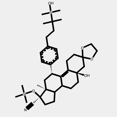 CC(C)(CCc1ccc([C@H]2C[C@@]3(C)C(CC[C@@]3(C#N)O[Si](C)(C)C)C3CC[C@@]4(O)CC5(CCC4=C32)OCCO5)cc1)[Si](C)(C)O